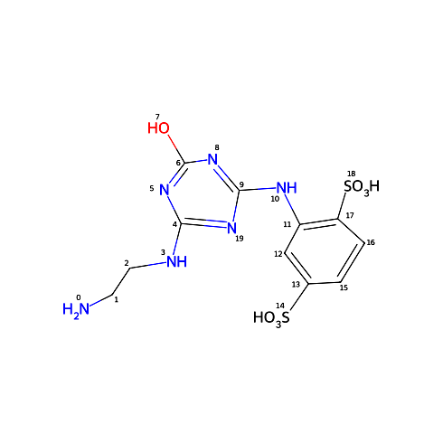 NCCNc1nc(O)nc(Nc2cc(S(=O)(=O)O)ccc2S(=O)(=O)O)n1